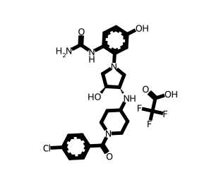 NC(=O)Nc1ccc(O)cc1N1C[C@H](NC2CCN(C(=O)c3ccc(Cl)cc3)CC2)[C@@H](O)C1.O=C(O)C(F)(F)F